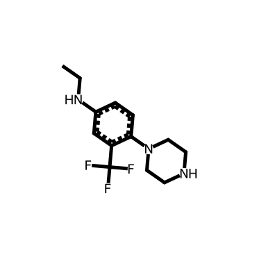 CCNc1ccc(N2CCNCC2)c(C(F)(F)F)c1